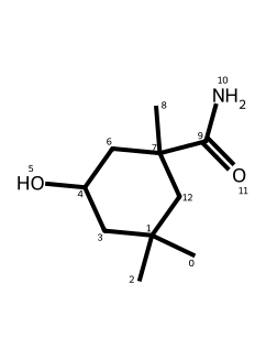 CC1(C)CC(O)CC(C)(C(N)=O)C1